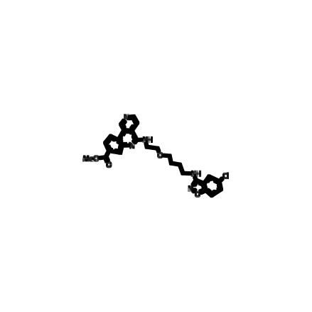 COC(=O)c1ccc2c(c1)nc(NCCOCCCCNc1noc3ccc(Cl)cc13)c1ccncc12